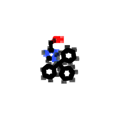 OCc1ncn(C(c2ccccc2)(c2ccccc2)c2ccccc2)n1